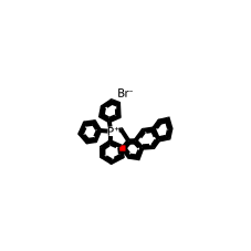 [Br-].c1ccc([P+](Cc2cccc3cc4ccccc4cc23)(c2ccccc2)c2ccccc2)cc1